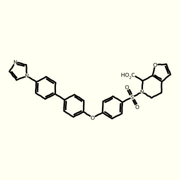 O=C(O)C1c2occc2CCN1S(=O)(=O)c1ccc(Oc2ccc(-c3ccc(-n4ccnc4)cc3)cc2)cc1